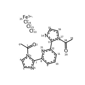 CC(=O)n1ccnc1-c1cccc(-c2nccn2C(C)=O)n1.[Cl-].[Cl-].[Cl-].[Fe+3]